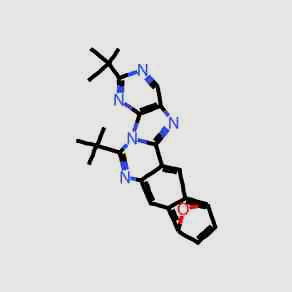 CC(C)(C)c1ncc2nc3c4cc5c6ccc(o6)c5cc4nc(C(C)(C)C)n3c2n1